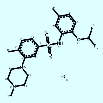 Cc1ccc(OC(F)F)c(NS(=O)(=O)c2ccc(C)c(N3CCN(C)CC3)c2)c1.Cl